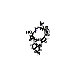 C[C@@H]1[C@@H](C2CC2)C/C=C/[C@H](O)C2CC[C@H]2CN2C[C@@]3(CCCc4cc(Cl)ccc43)COc3ccc(cc32)C(=O)NS1(=O)=O